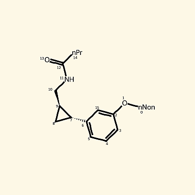 CCCCCCCCCOc1cccc([C@@H]2C[C@H]2CNC(=O)CCC)c1